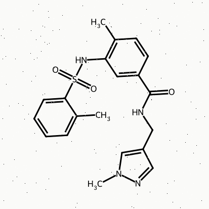 Cc1ccc(C(=O)NCc2cnn(C)c2)cc1NS(=O)(=O)c1ccccc1C